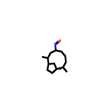 CC1CC(N=O)CCCC(C)[C@H]2CCC1C2